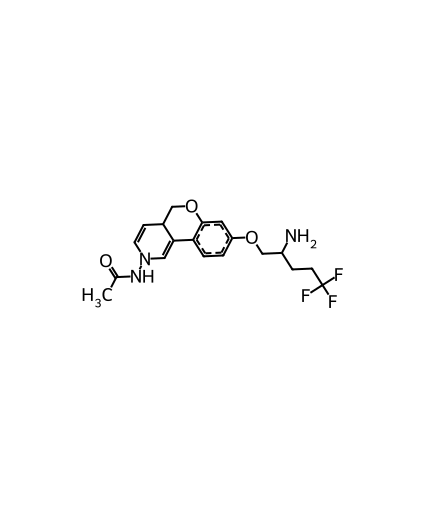 CC(=O)NN1C=CC2COc3cc(OCC(N)CCC(F)(F)F)ccc3C2=C1